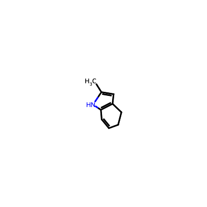 Cc1cc2c([nH]1)C=CCC2